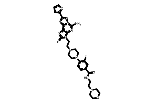 Nc1nc2c(sc(=O)n2CCN2CCN(c3ccc(C(=O)NCCN4CCOCC4)cc3F)CC2)c2nc(-c3ccco3)nn12